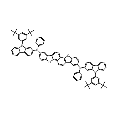 CC(C)(C)c1cc(-n2c3ccccc3c3ccc(N(c4ccccc4)c4ccc5oc6c(ccc7c6ccc6c8cc(N(c9ccccc9)c9ccc%10c%11ccccc%11n(-c%11cc(C(C)(C)C)cc(C(C)(C)C)c%11)c%10c9)ccc8oc67)c5c4)cc32)cc(C(C)(C)C)c1